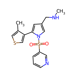 CNCc1cc(-c2cscc2C)n(S(=O)(=O)c2cccnc2)c1